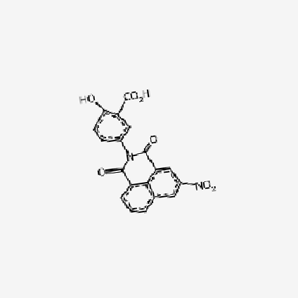 O=C(O)c1cc(N2C(=O)c3cccc4cc([N+](=O)[O-])cc(c34)C2=O)ccc1O